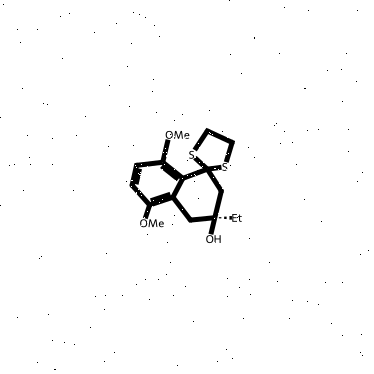 CC[C@]1(O)Cc2c(OC)ccc(OC)c2C2(C1)SCCS2